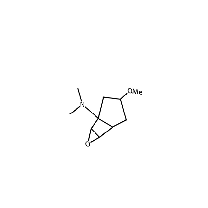 COC1CC2C3OC3C2(N(C)C)C1